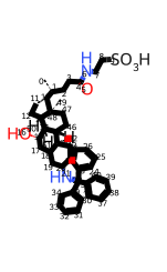 C[C@H](CCC(=O)NCCS(=O)(=O)O)[C@H]1CC[C@H]2[C@@H]3[C@@H](O)CC4C[C@H](NC(c5ccccc5)(c5ccccc5)c5ccccc5)CC[C@]4(C)[C@H]3CC[C@]12C